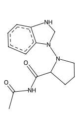 CC(=O)NC(=O)C1CCCN1N1CNc2ccccc21